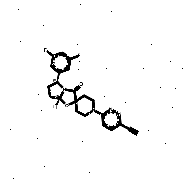 C#Cc1ccc(N2CCC3(CC2)O[C@@H]2CC[C@@H](c4cc(F)cc(F)c4)N2C3=O)nn1